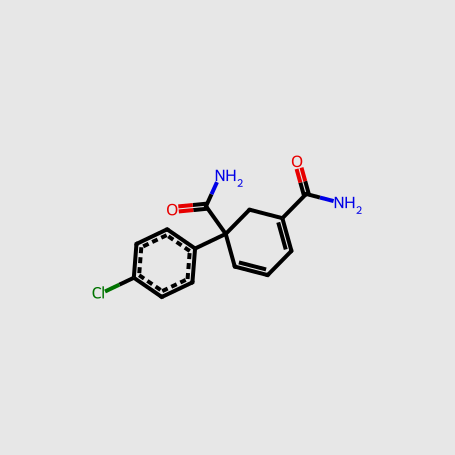 NC(=O)C1=CC=CC(C(N)=O)(c2ccc(Cl)cc2)C1